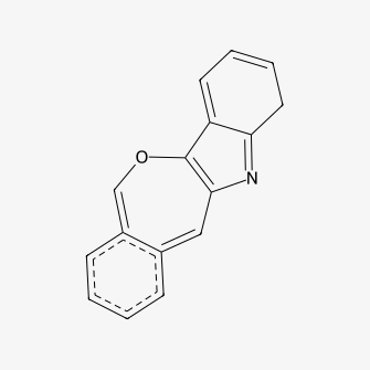 C1=CCC2=NC3=C(OC=c4ccccc4=C3)C2=C1